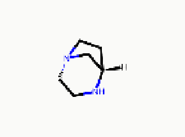 C1C[N@]2CC[C@@H](C2)N1